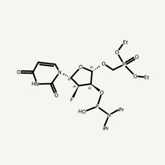 CCOP(=O)(CO[C@H]1O[C@@H](n2ccc(=O)[nH]c2=O)[C@H](F)[C@@H]1OP(O)N(C(C)C)C(C)C)OCC